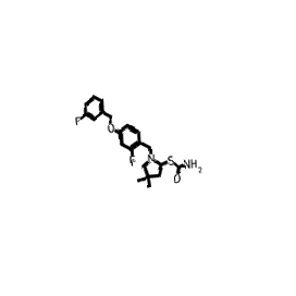 CC1(C)CC(SC(N)=O)N(Cc2ccc(OCc3cccc(F)c3)cc2F)C1